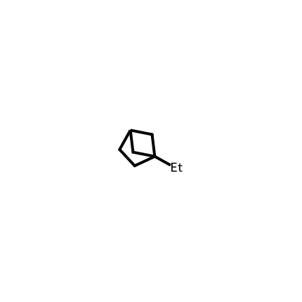 [CH2]CC12CCC(C1)C2